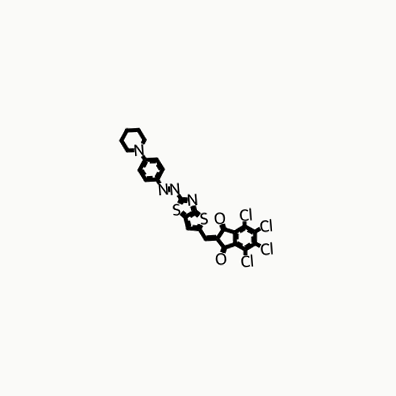 O=C1C(=Cc2cc3sc(/N=N/c4ccc(N5CCCCC5)cc4)nc3s2)C(=O)c2c(Cl)c(Cl)c(Cl)c(Cl)c21